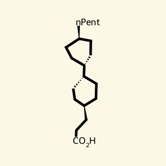 CCCCC[C@H]1CC[C@H]([C@H]2CC[C@H](CCC(=O)O)CC2)CC1